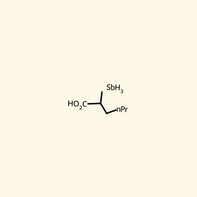 CCCCC(C)C(=O)O.[SbH3]